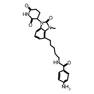 Cn1c(=O)n(C2CCC(=O)NC2=O)c2cccc(CCCCCNC(=O)c3ccc(N)cc3)c21